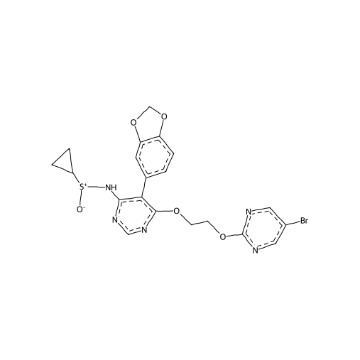 [O-][S+](Nc1ncnc(OCCOc2ncc(Br)cn2)c1-c1ccc2c(c1)OCO2)C1CC1